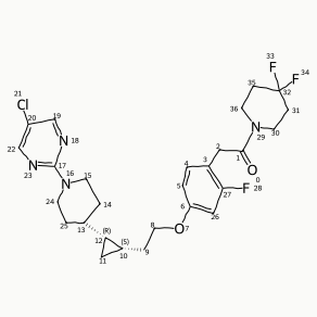 O=C(Cc1ccc(OCC[C@@H]2C[C@@H]2C2CCN(c3ncc(Cl)cn3)CC2)cc1F)N1CCC(F)(F)CC1